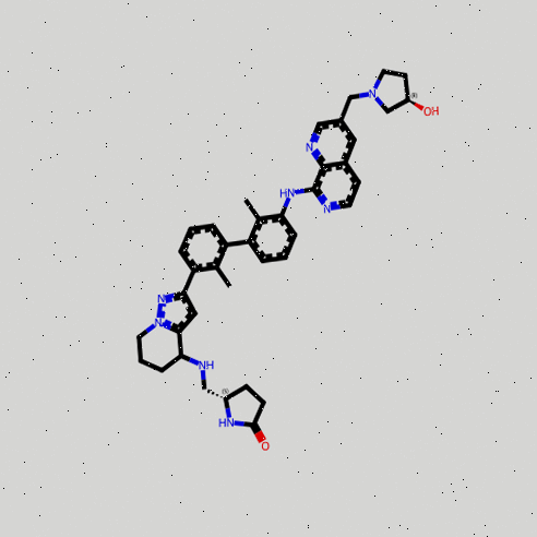 Cc1c(Nc2nccc3cc(CN4CC[C@@H](O)C4)cnc23)cccc1-c1cccc(-c2cc3n(n2)CCCC3NC[C@@H]2CCC(=O)N2)c1C